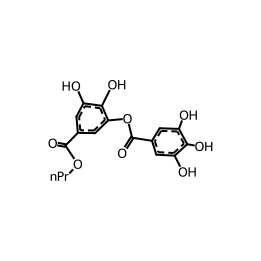 CCCOC(=O)c1cc(O)c(O)c(OC(=O)c2cc(O)c(O)c(O)c2)c1